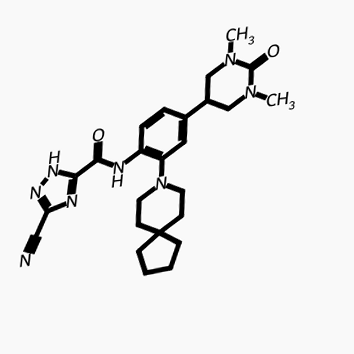 CN1CC(c2ccc(NC(=O)c3nc(C#N)n[nH]3)c(N3CCC4(CCCC4)CC3)c2)CN(C)C1=O